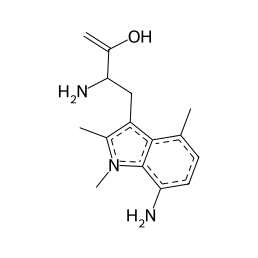 C=C(O)C(N)Cc1c(C)n(C)c2c(N)ccc(C)c12